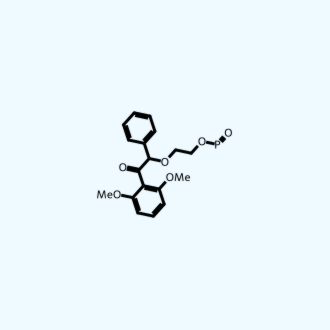 COc1cccc(OC)c1C(=O)C(OCCOP=O)c1ccccc1